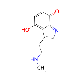 CNCCC1=CN=C2C(=O)C=CC(O)=C12